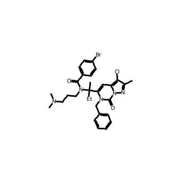 CCC(C)(c1cc2c(Cl)c(C)nn2c(=O)n1Cc1ccccc1)N(CCCN(C)C)C(=O)c1ccc(Br)cc1